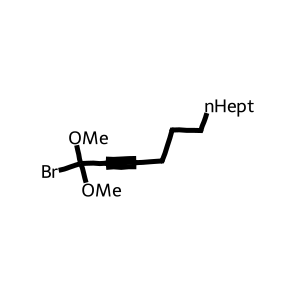 CCCCCCCCCCC#CC(Br)(OC)OC